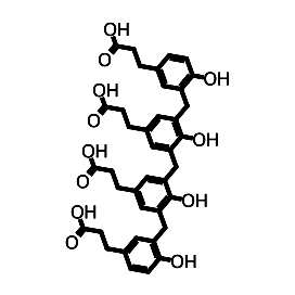 O=C(O)CCc1ccc(O)c(Cc2cc(CCC(=O)O)cc(Cc3cc(CCC(=O)O)cc(Cc4cc(CCC(=O)O)ccc4O)c3O)c2O)c1